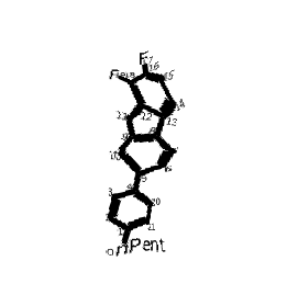 CCCCCc1ccc(-c2ccc3c(c2)Cc2c-3ccc(F)c2F)cc1